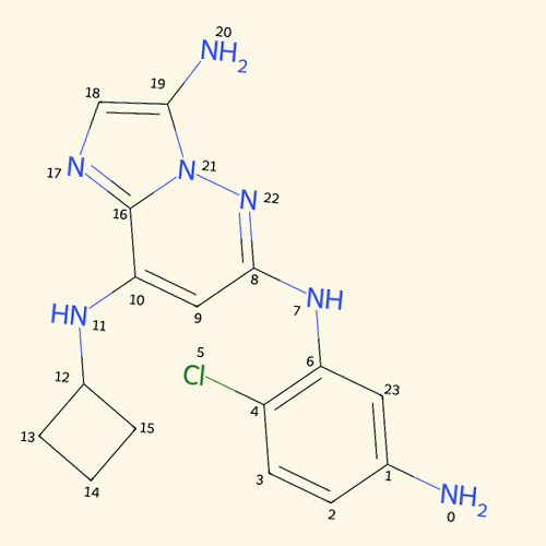 Nc1ccc(Cl)c(Nc2cc(NC3CCC3)c3ncc(N)n3n2)c1